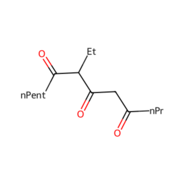 CCCCCC(=O)C(CC)C(=O)CC(=O)CCC